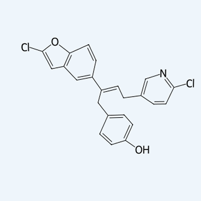 Oc1ccc(CC(=CCc2ccc(Cl)nc2)c2ccc3oc(Cl)cc3c2)cc1